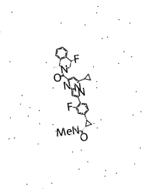 CNC(=O)[C@H]1C[C@@H]1c1ccc(-c2cc3nc(C(=O)N4CC(F)c5ccccc5[C@H]4C)cc(C4CC4)n3n2)c(F)c1